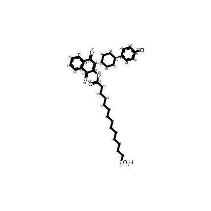 O=C(O)CCCCCCCCCCCCCC(=O)OC1=C([C@H]2CC[C@H](c3ccc(Cl)cc3)CC2)C(=O)c2ccccc2C1=O